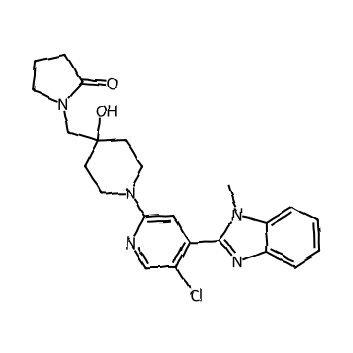 Cn1c(-c2cc(N3CCC(O)(CN4CCCC4=O)CC3)ncc2Cl)nc2ccccc21